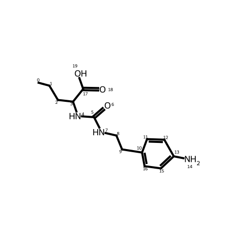 CCCC(NC(=O)NCCc1ccc(N)cc1)C(=O)O